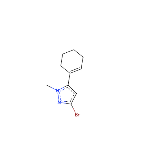 Cn1nc(Br)cc1C1=CCCCC1